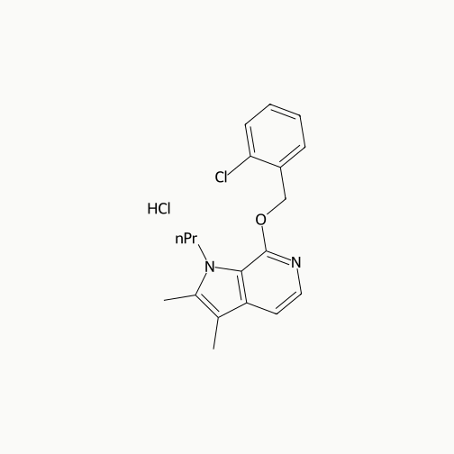 CCCn1c(C)c(C)c2ccnc(OCc3ccccc3Cl)c21.Cl